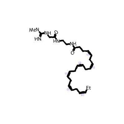 CC/C=C\C/C=C\C/C=C\C/C=C\C/C=C\C/C=C\CCC(=O)NCCNC(=O)CNC(=N)NC